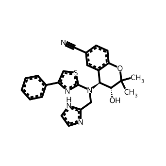 CC1(C)Oc2ccc(C#N)cc2[C@H](N(Cc2ncc[nH]2)c2nc(-c3ccccc3)cs2)[C@H]1O